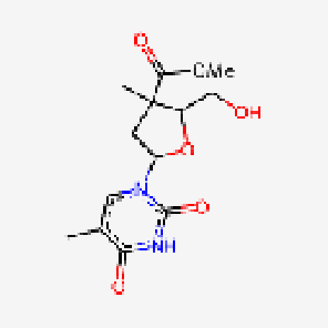 COC(=O)C1(C)CC(n2cc(C)c(=O)[nH]c2=O)OC1CO